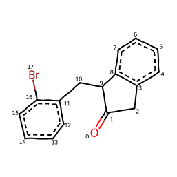 O=C1Cc2ccccc2C1Cc1ccccc1Br